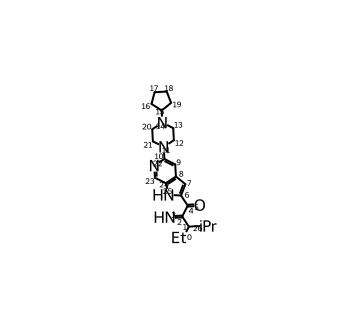 CCC(C(=N)C(=O)c1cc2cc(N3CCN(C4CCCC4)CC3)ncc2[nH]1)C(C)C